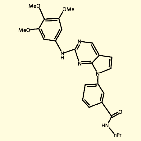 CCCNC(=O)c1cccc(-n2ccc3cnc(Nc4cc(OC)c(OC)c(OC)c4)nc32)c1